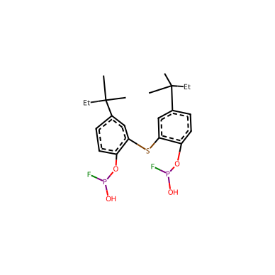 CCC(C)(C)c1ccc(OP(O)F)c(Sc2cc(C(C)(C)CC)ccc2OP(O)F)c1